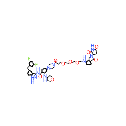 O=C1CCC(N2Cc3c(NCCOCCOCCOCCC(=O)N4CCN(c5ccc(C(=O)Nc6n[nH]c7ccc(Cc8cc(F)cc(F)c8)cc67)c(NC6CCOCC6)c5)CC4)cccc3C2=O)C(=O)N1